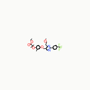 CCOC(=O)C(C)(C)Oc1ccc(OCc2cnc(-c3ccc(C(F)(F)F)cc3)nc2CCOC)cc1C